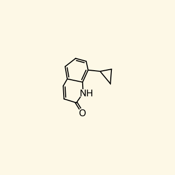 O=c1ccc2cccc(C3CC3)c2[nH]1